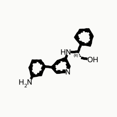 Nc1cccc(-c2cncc(N[C@@H](CO)c3ccccc3)c2)c1